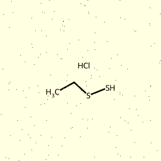 CCSS.Cl